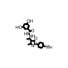 CC1=NN(c2ccc(C(C)(C)C)cc2)C(=O)/C1=C(/C)NNC(=O)c1cc(O)cc(O)c1